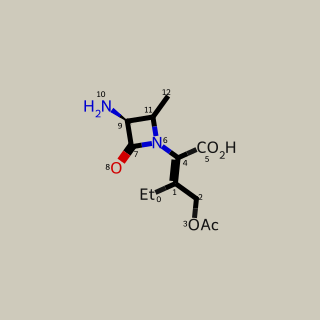 CC/C(COC(C)=O)=C(/C(=O)O)N1C(=O)[C@@H](N)C1C